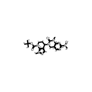 CN1C(=O)N(C2CCN(C(=O)OC(C)(C)C)c3c2cnn3C)Cc2cnc([S+](C)[O-])nc21